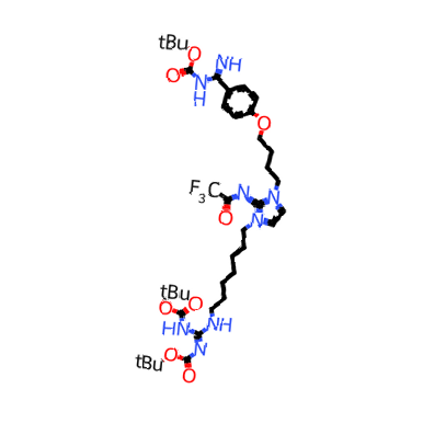 CC(C)(C)OC(=O)N=C(NCCCCCCCn1ccn(CCCCOc2ccc(C(=N)NC(=O)OC(C)(C)C)cc2)c1=NC(=O)C(F)(F)F)NC(=O)OC(C)(C)C